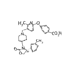 Cc1cccc([C@@H]2COC(=O)N2C2CCN(Cc3ccc(Oc4ccc(C(=O)O)cc4)nc3C)CC2)c1